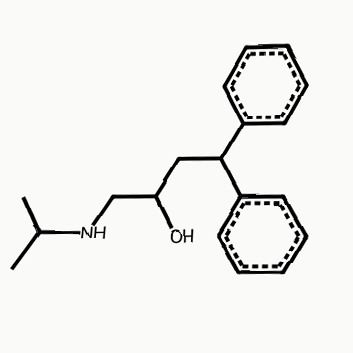 CC(C)NCC(O)CC(c1ccccc1)c1ccccc1